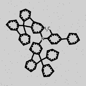 Cc1cc(-c2ccccc2)ccc1N(c1ccc2c(c1)C(c1ccccc1)(c1ccccc1)c1ccccc1-2)c1ccc2c(c1)C1(c3ccccc3-c3ccccc31)c1ccccc1-2